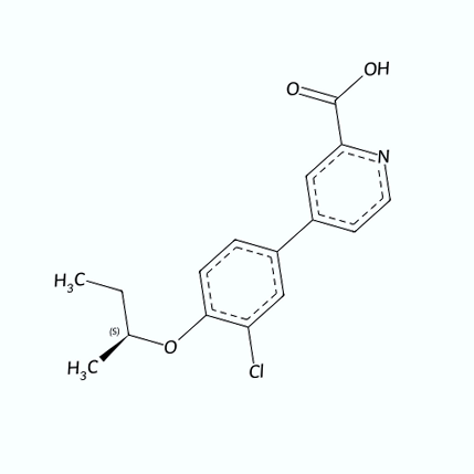 CC[C@H](C)Oc1ccc(-c2ccnc(C(=O)O)c2)cc1Cl